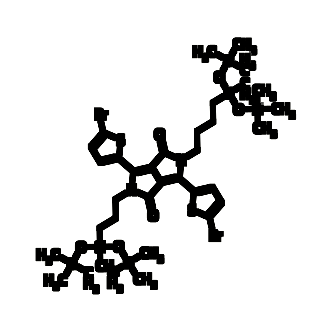 C[Si](C)(C)O[Si](C)(CCCCN1C(=O)C2=C(c3ccc(Br)s3)N(CCC[Si](C)(O[Si](C)(C)C)O[Si](C)(C)C)C(=O)C2=C1c1ccc(Br)s1)O[Si](C)(C)C